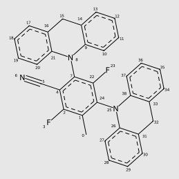 Cc1c(F)c(C#N)c(N2c3ccccc3Cc3ccccc32)c(F)c1N1c2ccccc2Cc2ccccc21